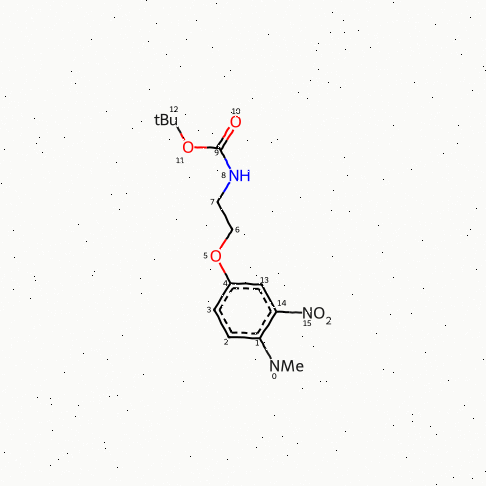 CNc1ccc(OCCNC(=O)OC(C)(C)C)cc1[N+](=O)[O-]